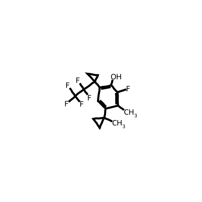 Cc1c(C2(C)CC2)cc(C2(C(F)(F)C(F)(F)F)CC2)c(O)c1F